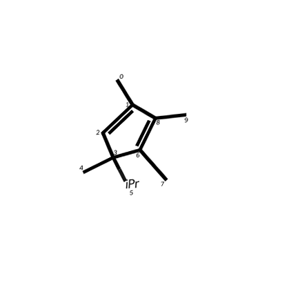 CC1=CC(C)(C(C)C)C(C)=C1C